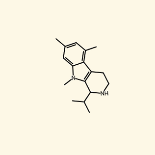 Cc1cc(C)c2c3c(n(C)c2c1)C(C(C)C)NCC3